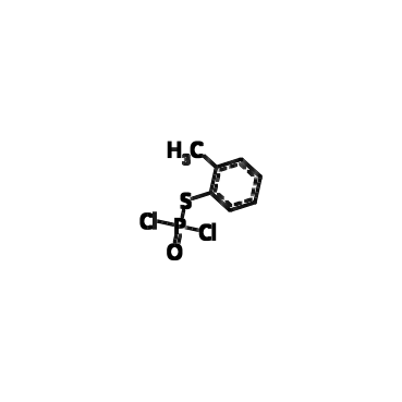 Cc1ccccc1SP(=O)(Cl)Cl